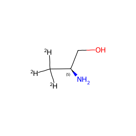 [2H]C([2H])([2H])[C@H](N)CO